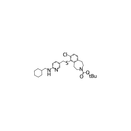 CC(C)(C)OC(=O)N1CCc2ccc(Cl)c(SCc3ccc(NCC4CCCCC4)nc3)c2CC1